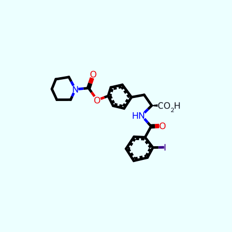 O=C(N[C@@H](Cc1ccc(OC(=O)N2CCCCC2)cc1)C(=O)O)c1ccccc1I